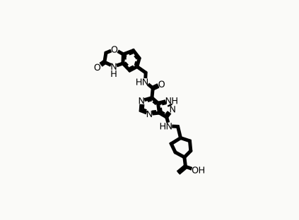 C=C(O)C1CCC(CNc2n[nH]c3c(C(=O)NCc4ccc5c(c4)NC(=O)CO5)ncnc23)CC1